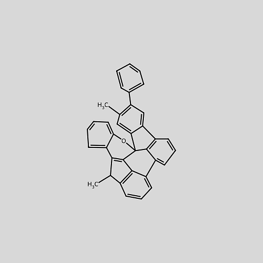 Cc1cc2c(cc1-c1ccccc1)-c1cccc3c1C21Oc2ccccc2C2=C1c1c-3cccc1C2C